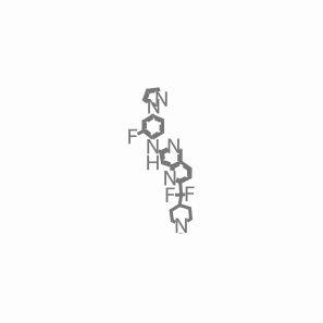 CN1CCC(C(F)(F)c2ccc3cnc(Nc4ccc(-n5cccn5)cc4F)cc3n2)CC1